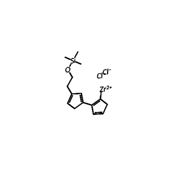 C[Si](C)(C)OCCC1=CCC(C2=[C]([Zr+2])CC=C2)=C1.[Cl-].[Cl-]